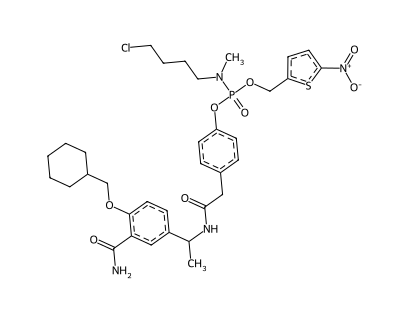 CC(NC(=O)Cc1ccc(OP(=O)(OCc2ccc([N+](=O)[O-])s2)N(C)CCCCCl)cc1)c1ccc(OCC2CCCCC2)c(C(N)=O)c1